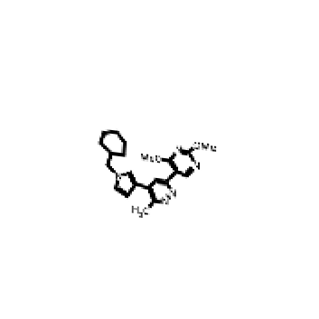 COc1ncc(-c2cc(-c3ccn(CC4CCCCC4)c3)c(C)nn2)c(OC)n1